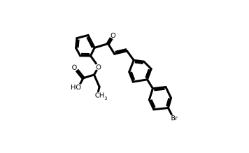 CCC(Oc1ccccc1C(=O)/C=C/c1ccc(-c2ccc(Br)cc2)cc1)C(=O)O